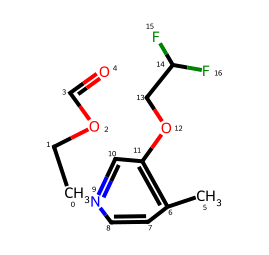 CCOC=O.Cc1ccncc1OCC(F)F